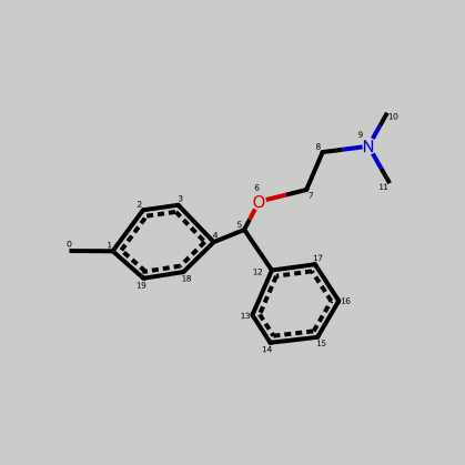 Cc1ccc(C(OCCN(C)C)c2ccccc2)cc1